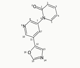 O=c1ccccn1-c1cncc(-c2cnco2)c1